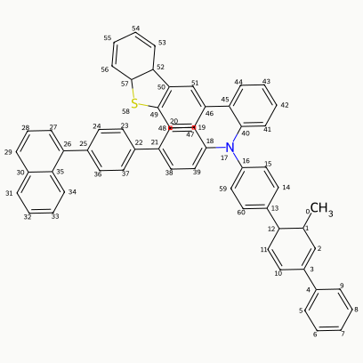 CC1C=C(c2ccccc2)C=CC1c1ccc(N(c2ccc(-c3ccc(-c4cccc5ccccc45)cc3)cc2)c2ccccc2-c2ccc3c(c2)C2C=CC=CC2S3)cc1